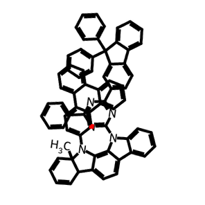 CC12C=CC=CC1c1ccc3c4ccccc4n(-c4nc(-c5ccccc5)nc(-c5ccc6c(c5)C(c5ccccc5)(c5ccccc5)c5ccccc5-6)n4)c3c1N2c1ccc2c3ccccc3c3ccccc3c2c1